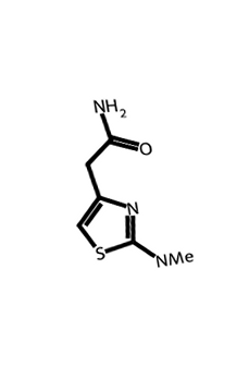 CNc1nc(CC(N)=O)cs1